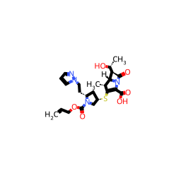 C=CCOC(=O)N1C[C@@H](SC2=C(C(=O)O)N3C(=O)[C@H]([C@@H](C)O)[C@H]3[C@H]2C)C[C@H]1CCn1cccn1